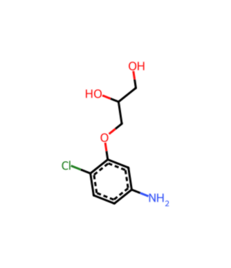 Nc1ccc(Cl)c(OCC(O)CO)c1